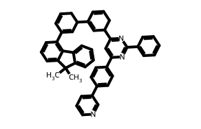 CC1(C)c2ccccc2-c2c(C3=CC(C4=CC(c5cc(-c6ccc(-c7cccnc7)cc6)nc(-c6ccccc6)n5)CC=C4)CC=C3)cccc21